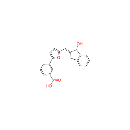 O=C(O)c1cccc(-c2ccc(/C=C3\Cc4ccccc4C3O)o2)c1